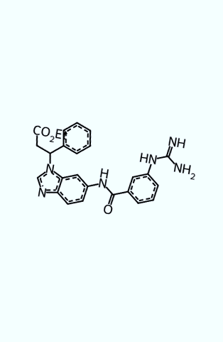 CCOC(=O)CC(c1ccccc1)n1cnc2ccc(NC(=O)c3cccc(NC(=N)N)c3)cc21